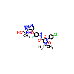 CC(C)n1cc(C(=O)Nc2ccc(Oc3ccnc4[nH]nc(N[C@H](C)CO)c34)c(F)c2)c(=O)n(-c2ccc(Cl)cc2)c1=O